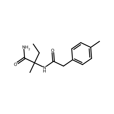 CCC(C)(NC(=O)Cc1ccc(C)cc1)C(N)=O